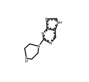 c1nc2nc(N3CCNCC3)ncc2[nH]1